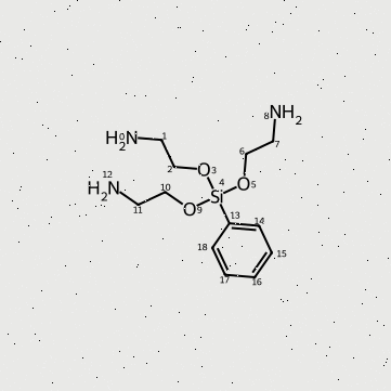 NCCO[Si](OCCN)(OCCN)c1ccccc1